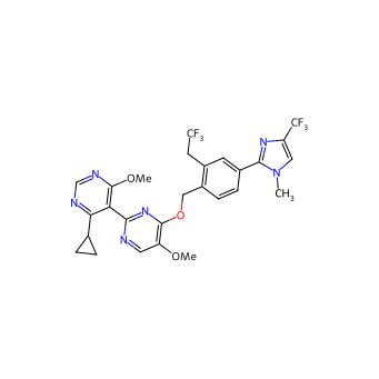 COc1cnc(-c2c(OC)ncnc2C2CC2)nc1OCc1ccc(-c2nc(C(F)(F)F)cn2C)cc1CC(F)(F)F